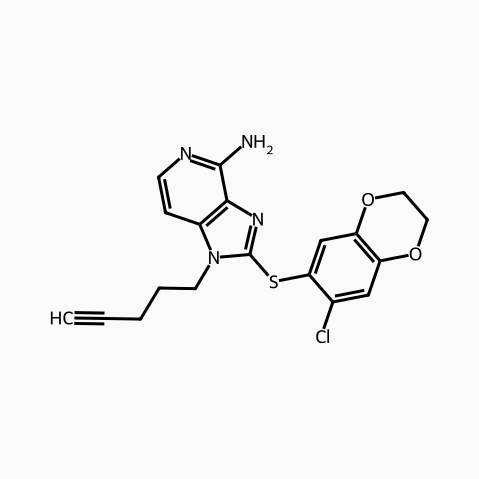 C#CCCCn1c(Sc2cc3c(cc2Cl)OCCO3)nc2c(N)nccc21